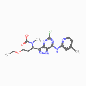 CCOCCC(c1n[nH]c2c(Nc3cc(C)ccn3)nc(Cl)nc12)N(C)C(=O)O